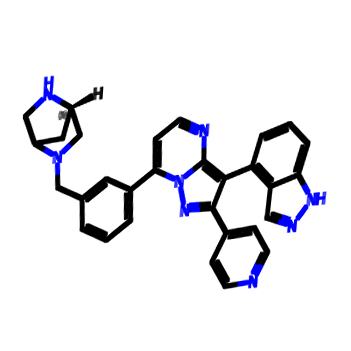 c1cc(CN2C[C@@H]3CC2CN3)cc(-c2ccnc3c(-c4cccc5[nH]ncc45)c(-c4ccncc4)nn23)c1